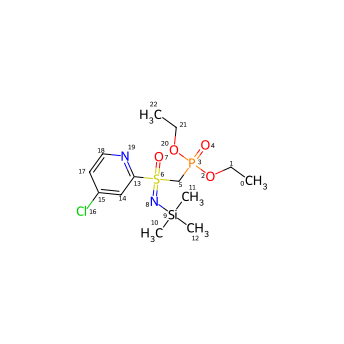 CCOP(=O)(CS(=O)(=N[Si](C)(C)C)c1cc(Cl)ccn1)OCC